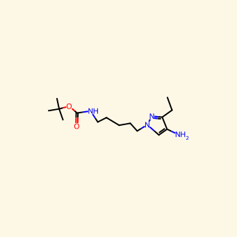 CCc1nn(CCCCCNC(=O)OC(C)(C)C)cc1N